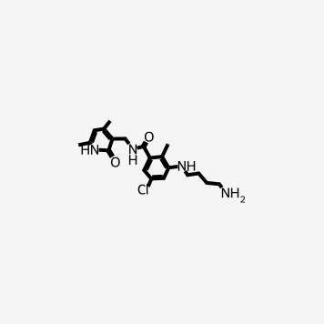 Cc1cc(C)c(CNC(=O)c2cc(Cl)cc(NCCCCN)c2C)c(=O)[nH]1